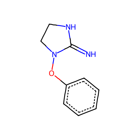 N=C1NCCN1Oc1ccccc1